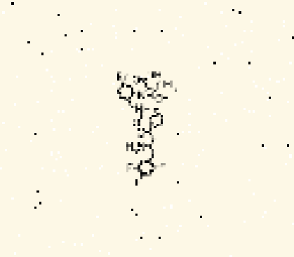 CC(C)[C@H](Nc1cc(Br)ccc1CNC(=O)[C@@H]1SCCN1C(=O)C[C@H](N)Cc1cc(F)c(F)cc1F)C(=O)O